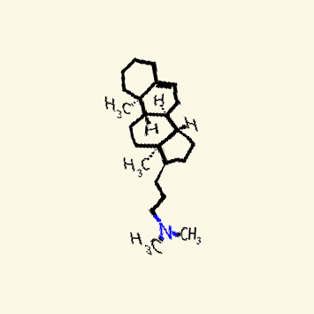 CN(C)CCC[C@@H]1CC[C@H]2[C@@H]3CC=C4CCCC[C@]4(C)[C@H]3CC[C@]12C